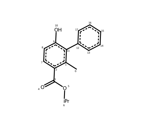 Cc1c(C(=O)OC(C)C)ccc(O)c1-c1ccccc1